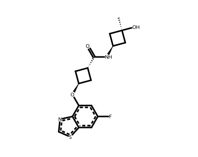 C[C@]1(O)C[C@@H](NC(=O)[C@H]2C[C@H](Oc3cc(F)cc4scnc34)C2)C1